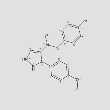 COc1ccc(N2NNC=C2N(C)Cc2ccc(C)cc2)cc1